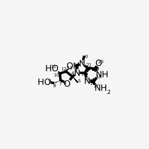 CN1CN([C@]2(C)O[C@H](CO)[C@@H](O)[C@H]2O)c2nc(N)[nH]c(=O)c21